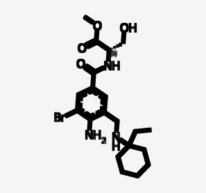 CCC1(NCc2cc(C(=O)N[C@@H](CO)C(=O)OC)cc(Br)c2N)CCCCC1